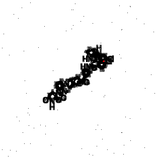 Cn1c(=O)n(C2CCC(=O)NC2=O)c2cccc(N3CCC4(CCN(C(=O)c5ccc(NC(=O)[C@@H]6NC7(CCCCC7)[C@@]7(C(=O)Nc8cc(Cl)ccc87)[C@H]6c6cccc(Cl)c6F)cc5)CC4)CC3)c21